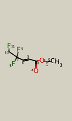 CCOC(=O)C=CC(F)(F)CF